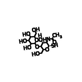 CC(=O)NC1[C@H](S)OC(CO)[C@@H](O[C@@H]2OC(CO)[C@H](O)[C@H](O)C2O)[C@@H]1O